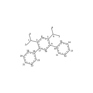 CC(C)c1[c]c(C(C)C)c(-c2ccccc2)cc1-c1ccccc1